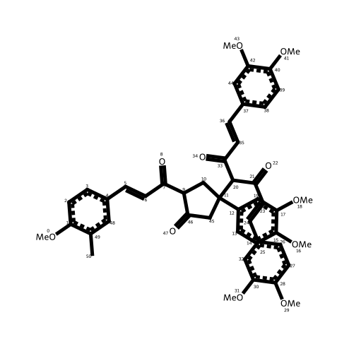 COc1ccc(/C=C/C(=O)C2CC(c3ccc(OC)c(OC)c3)(C(C(=O)/C=C/c3ccc(OC)c(OC)c3)C(=O)/C=C/c3ccc(OC)c(OC)c3)CC2=O)cc1C